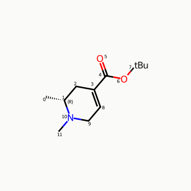 C[C@@H]1CC(C(=O)OC(C)(C)C)=CCN1C